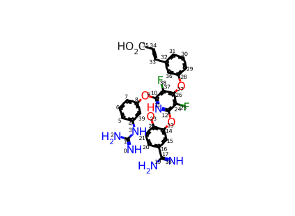 N=C(N)Nc1cccc(Oc2nc(Oc3cc(C(=N)N)ccc3O)c(F)c(Oc3cccc(C=CC(=O)O)c3)c2F)c1